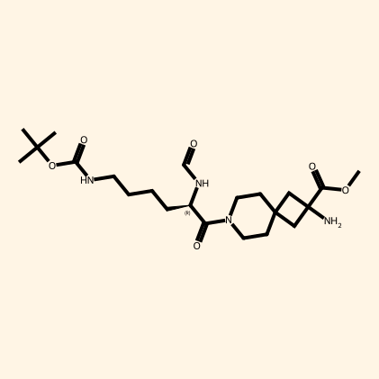 COC(=O)C1(N)CC2(CCN(C(=O)[C@@H](CCCCNC(=O)OC(C)(C)C)NC=O)CC2)C1